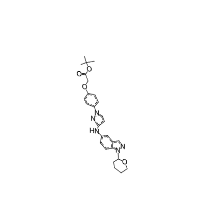 CC(C)(C)OC(=O)COc1ccc(-n2ccc(Nc3ccc4c(cnn4C4CCCCO4)c3)n2)cc1